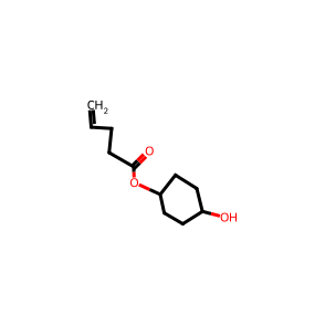 C=CCCC(=O)OC1CCC(O)CC1